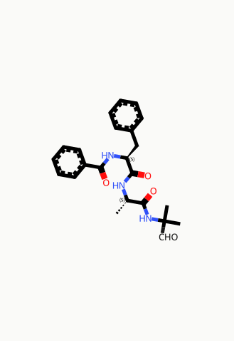 C[C@H](NC(=O)[C@H](Cc1ccccc1)NC(=O)c1ccccc1)C(=O)NC(C)(C)C=O